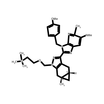 CNc1cc2nc(-c3nn(COCC[Si](C)(C)C)c4c3C[C@@H]3C[C@]3(C)C4)n(Cc3ccc(OC)cc3)c2nc1C